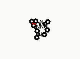 c1ccc(-n2c3ccccc3c3cc4c5ccccc5n(-c5nc6c(nc5-c5ccc7ccccc7c5)c5ccccc5n6-c5ccccc5)c4cc32)cc1